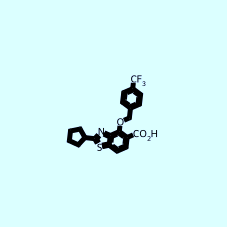 O=C(O)c1ccc2sc(C3CCCC3)nc2c1OCc1ccc(C(F)(F)F)cc1